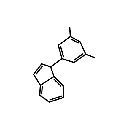 Cc1cc(C)cc(C2C=Cc3ccccc32)c1